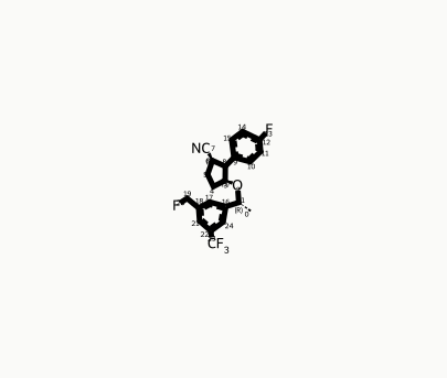 C[C@@H](O[C@H]1CC[C@@H](C#N)C1c1ccc(F)cc1)c1cc(CF)cc(C(F)(F)F)c1